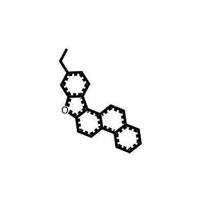 CCc1ccc2c(c1)oc1ccc3c4ccccc4ccc3c12